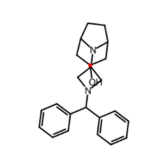 OC1CC2CCC(C1)N2C1CN(C(c2ccccc2)c2ccccc2)C1